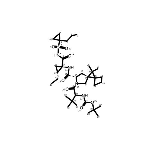 CCCC1(S(=O)(=O)NC(=O)[C@@]2(NC(=O)[C@@H]3C[C@@]4(CN3C(=O)[C@@H](NC(=O)OC(C)(C)C)C(C)(C)C)C(C)(C)C43CCC3)C[C@H]2CC)CC1